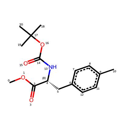 COC(=O)[C@@H](Cc1ccc(C)cc1)NC(=O)OC(C)(C)C